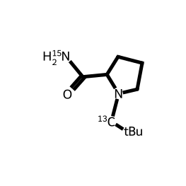 [13CH3][13C]([13CH3])([13CH3])[13CH2]N1CCCC1C([15NH2])=O